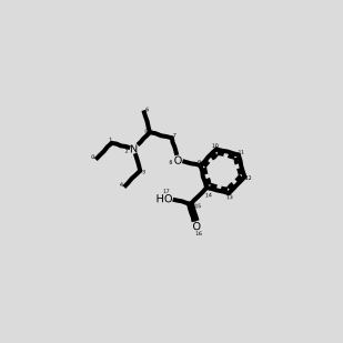 CCN(CC)C(C)COc1ccccc1C(=O)O